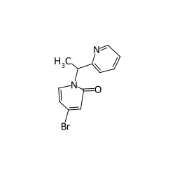 CC(c1ccccn1)n1ccc(Br)cc1=O